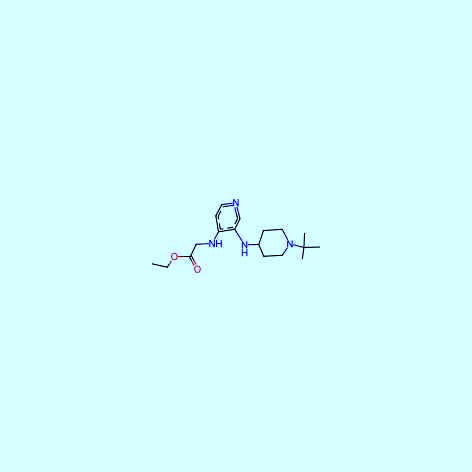 CCOC(=O)CNc1ccncc1NC1CCN(C(C)(C)C)CC1